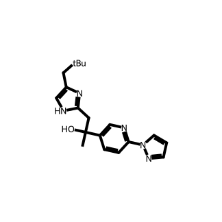 CC(C)(C)Cc1c[nH]c(CC(C)(O)c2ccc(-n3cccn3)nc2)n1